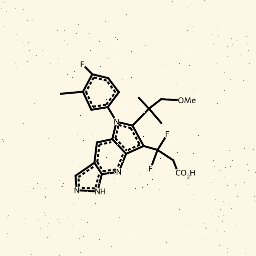 COCC(C)(C)c1c(C(F)(F)CC(=O)O)c2nc3[nH]ncc3cc2n1-c1ccc(F)c(C)c1